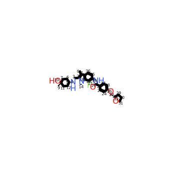 Cc1c(CN[C@H]2CC[C@@](C)(O)CC2)n(C)c2c(F)c(NC(=O)c3ccc(OC[C@@H]4CCCO4)cc3)ccc12